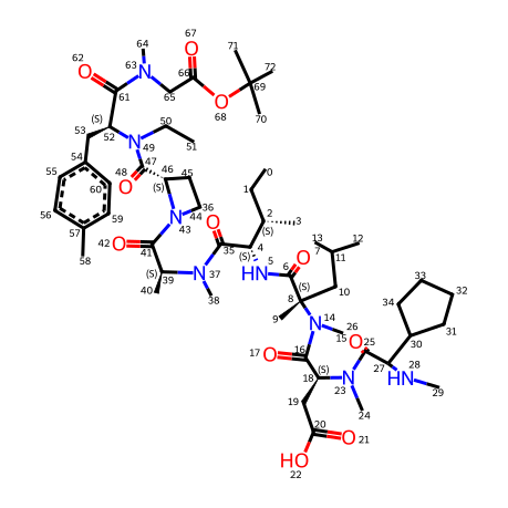 CC[C@H](C)[C@H](NC(=O)[C@](C)(CC(C)C)N(C)C(=O)[C@H](CC(=O)O)N(C)C(=O)C(NC)C1CCCC1)C(=O)N(C)[C@@H](C)C(=O)N1CC[C@H]1C(=O)N(CC)[C@@H](Cc1ccc(C)cc1)C(=O)N(C)CC(=O)OC(C)(C)C